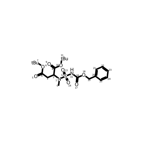 CN(C(CC(=O)OC(C)(C)C)C(=O)OC(C)(C)C)S(=O)(=O)NC(=O)OCc1ccccc1